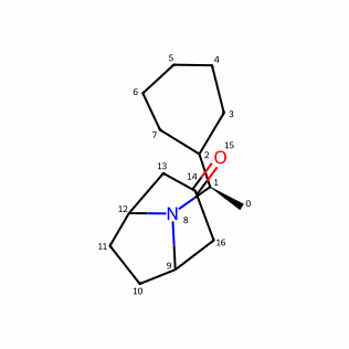 C[C@H](C1CCCCC1)N1C2CCC1CC(=O)C2